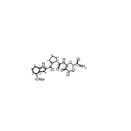 COc1cccc2[nH]c(C(=O)N3CCC[C@H]3C(=O)NN(CCC(N)=O)C(=O)C(F)Cl)cc12